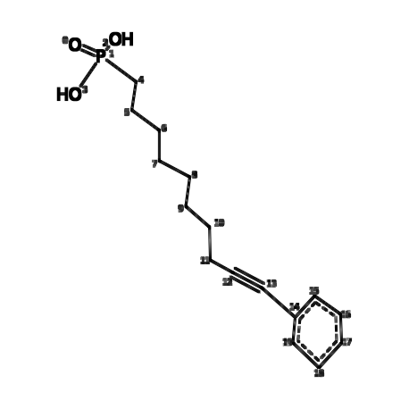 O=P(O)(O)CCCCCCCCC#Cc1ccccc1